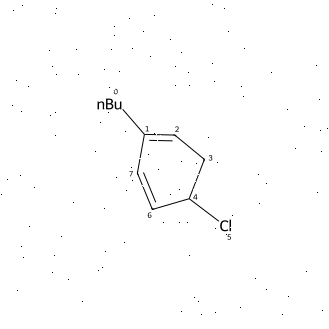 CCCCC1=CCC(Cl)C=C1